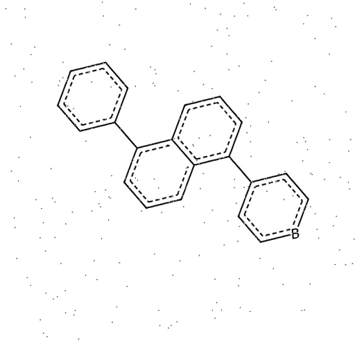 b1ccc(-c2cccc3c(-c4ccccc4)cccc23)cc1